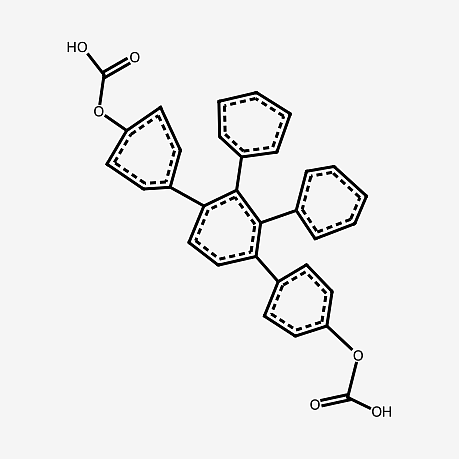 O=C(O)Oc1ccc(-c2ccc(-c3ccc(OC(=O)O)cc3)c(-c3ccccc3)c2-c2ccccc2)cc1